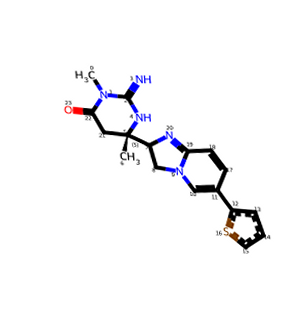 CN1C(=N)N[C@](C)(C2CN3C=C(c4cccs4)C=CC3=N2)CC1=O